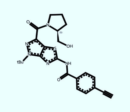 C#Cc1ccc(C(=O)Nc2nc3c(s2)c(C(=O)N2CCC[C@H]2CO)nn3C(C)(C)C)cc1